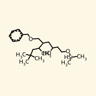 CC(CC(C)(C)C)C(COCc1ccccc1)CC(O)CCO[SiH](C)C